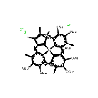 COc1c(C)c(C)c([Si](C2=C(C)C(C)=C(C)[C]2(C)[Ti+3])(c2c(C)c(C)c(OC)c(OC)c2OC)c2c(C)c(C)c(OC)c(OC)c2OC)c(OC)c1OC.[Cl-].[Cl-].[Cl-]